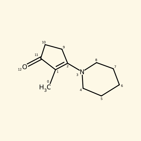 CC1=C(N2CCCCC2)CCC1=O